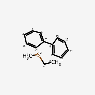 CCSC.c1ccc(-c2ccccc2)cc1